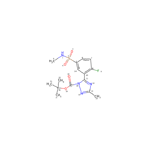 CNS(=O)(=O)c1ccc(F)c(-c2nc(C)nn2C(=O)OC(C)(C)C)c1